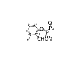 C=CC(=O)P=O.Cc1ccccc1[C]=O